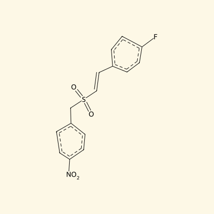 O=[N+]([O-])c1ccc(CS(=O)(=O)/C=C/c2ccc(F)cc2)cc1